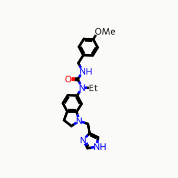 CCN(C(=O)NCc1ccc(OC)cc1)c1ccc2c(c1)N(Cc1c[nH]cn1)CC2